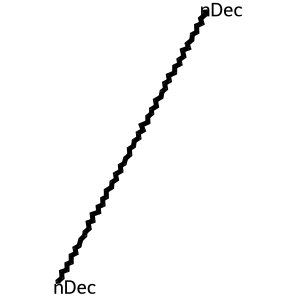 CCCCCCCCCCCCCCCCCCCCCCCCCCCCCCCCCCCCCCCCCCCCCCCCCCCCCCCCCCCCCCCCCCCCCCCCCCCCCCCCCCCCCC